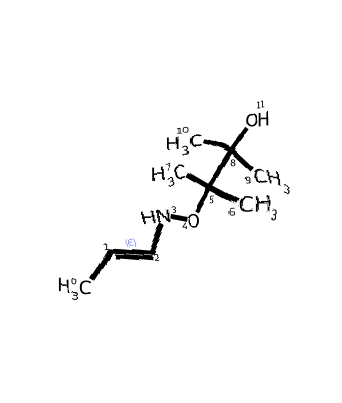 C/C=C/NOC(C)(C)C(C)(C)O